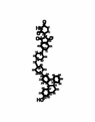 O=C1CCC(N2C(=O)C3=C(CCC(N4CCN(CC5CCN(c6ccc([C@@H]7c8ccc(O)cc8CC[C@@H]7c7ccccc7)cc6)CC5)CC4)=C3)C2=O)C(=O)N1